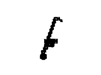 CCCCCCCCCCCCCCC(COCCOc1ccccc1)OP(=O)(O)O